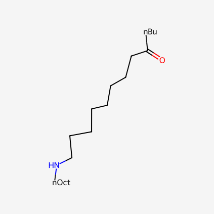 CCCCCCCCNCCCCCCCCC(=O)CCCC